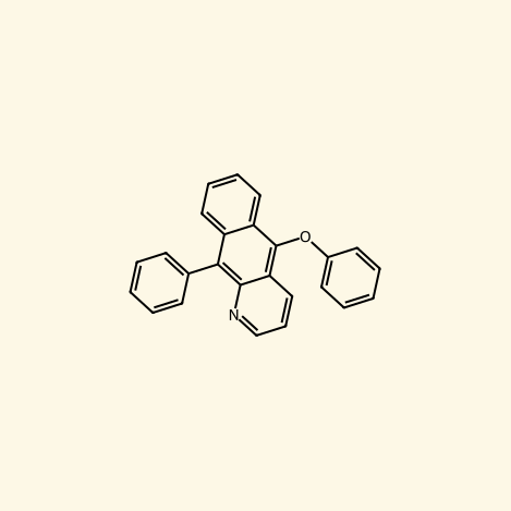 c1ccc(Oc2c3ccccc3c(-c3ccccc3)c3ncccc23)cc1